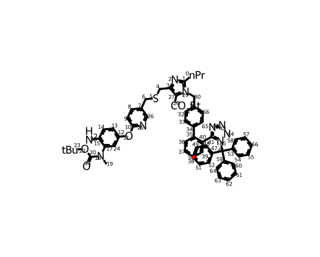 CCCc1nc(CSCc2ccc(Oc3ccc(N)c(N(C)C(=O)OC(C)(C)C)c3)nc2)c(C(=O)OCC)n1Cc1ccc(-c2ccccc2-c2nnnn2C(c2ccccc2)(c2ccccc2)c2ccccc2)cc1